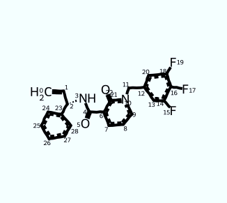 C=C[C@H](NC(=O)c1cccn(Cc2cc(F)c(F)c(F)c2)c1=O)c1ccccc1